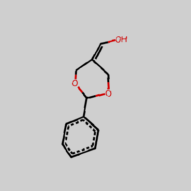 OC=C1COC(c2ccccc2)OC1